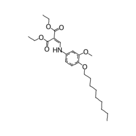 CCCCCCCCCOc1ccc(NC=C(C(=O)OCC)C(=O)OCC)cc1OC